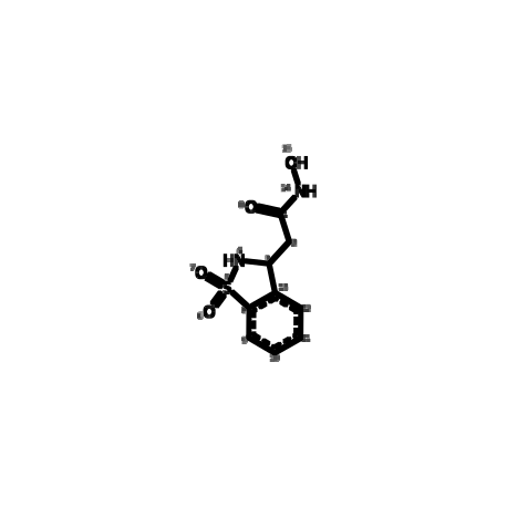 O=C(CC1NS(=O)(=O)c2ccccc21)NO